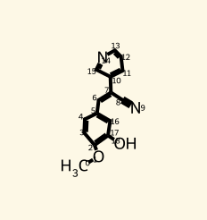 COc1ccc(C=C(C#N)c2cccnc2)cc1O